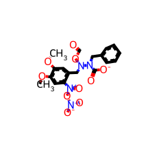 COc1cc(CN(OC=O)N(Cc2ccccc2)C(=O)[O-])c([N+](=O)O[N+](=O)[O-])cc1OC